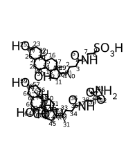 C[C@H](CCC(=O)NCCS(=O)(=O)O)[C@H]1CCC2C3C(CC[C@@]21C)[C@@]1(C)CC[C@@H](O)CC1C[C@@H]3O.C[C@H](CCC(=O)NCCS(N)(=O)=O)[C@H]1CC[C@H]2[C@H]3[C@H](CC[C@]12C)[C@@]1(C)CC[C@@H](O)CC1C[C@@]3(O)C(=O)O